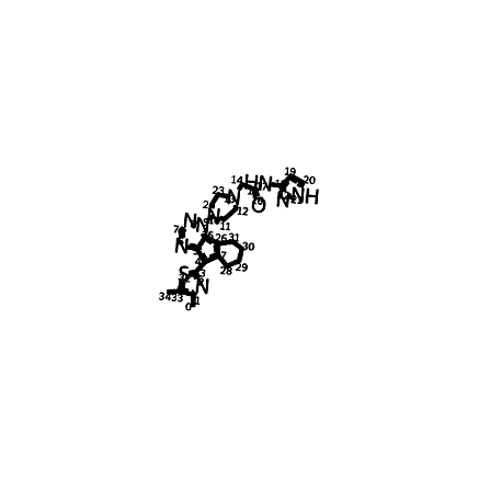 Cc1nc(-c2c3ncnn(N4CCN(CC(=O)Nc5cc[nH]n5)CC4)c-3c3c2CCCC3)sc1C